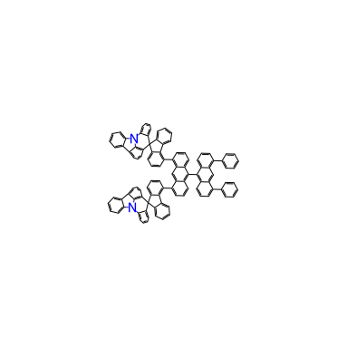 c1ccc(-c2cccc3c(-c4c5cccc(-c6cccc7c6-c6ccccc6C76c7ccccc7-n7c8ccccc8c8cccc6c87)c5cc5c(-c6cccc7c6-c6ccccc6C76c7ccccc7-n7c8ccccc8c8cccc6c87)cccc45)c4cccc(-c5ccccc5)c4cc23)cc1